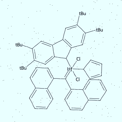 CC(C)(C)c1cc2c(cc1C(C)(C)C)[CH]([Hf]([Cl])([Cl])(=[C](c1cccc3ccccc13)c1cccc3ccccc13)[CH]1C=CC=C1)c1cc(C(C)(C)C)c(C(C)(C)C)cc1-2